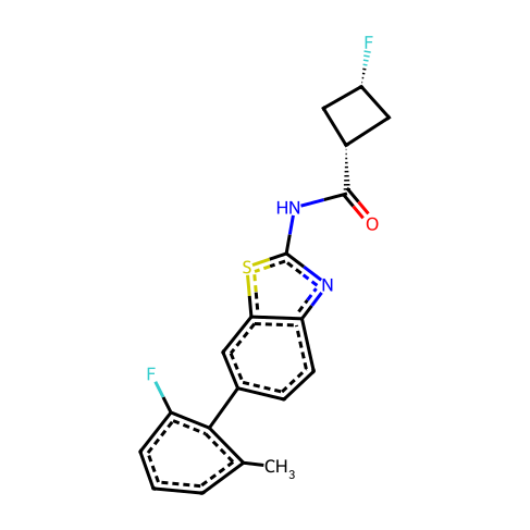 Cc1cccc(F)c1-c1ccc2nc(NC(=O)[C@H]3C[C@@H](F)C3)sc2c1